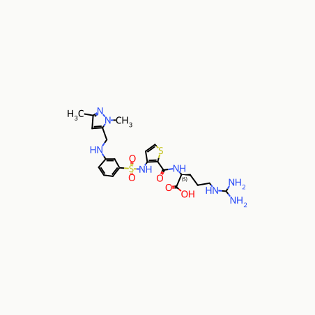 Cc1cc(CNc2cccc(S(=O)(=O)Nc3ccsc3C(=O)N[C@@H](CCCNC(N)N)C(=O)O)c2)n(C)n1